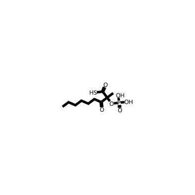 CCCCCCC(=O)C(C)(OP(=O)(O)O)C(=O)S